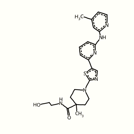 Cc1ccnc(Nc2cccc(-c3cnc(N4CCC(C)(C(=O)NCCO)CC4)s3)n2)c1